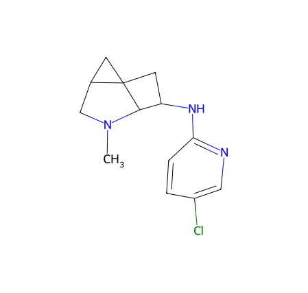 CN1CC2CC23CC(Nc2ccc(Cl)cn2)C13